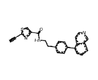 C#Cc1nc(C(=O)NCCc2ccc(-c3cccc4cnccc34)cc2)cs1